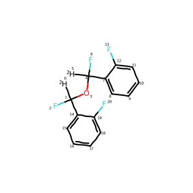 [2H]C(F)(OC([2H])(F)c1ccccc1F)c1ccccc1F